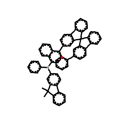 CC1(C)c2ccccc2-c2ccc(N(c3ccccc3)c3ccc(-c4ccc5c(c4)C4(c6ccccc6-c6ccc(-c7ccccc7)cc64)c4ccccc4-5)c4ccccc34)cc21